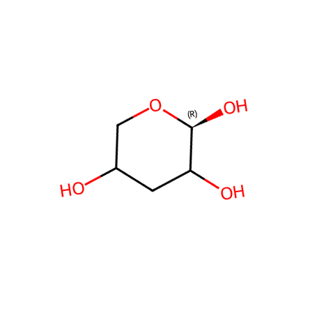 OC1CO[C@@H](O)C(O)C1